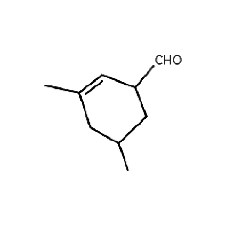 CC1=CC(C=O)CC(C)C1